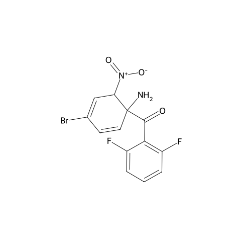 NC1(C(=O)c2c(F)cccc2F)C=CC(Br)=CC1[N+](=O)[O-]